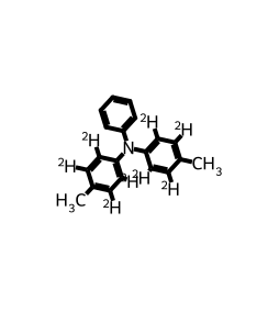 [2H]c1c([2H])c(N(c2ccccc2)c2c([2H])c([2H])c(C)c([2H])c2[2H])c([2H])c([2H])c1C